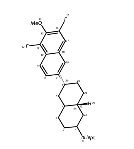 CCCCCCCC1CCC2C[C@H](c3ccc4c(F)c(OC)c(F)cc4c3)CC[C@@H]2C1